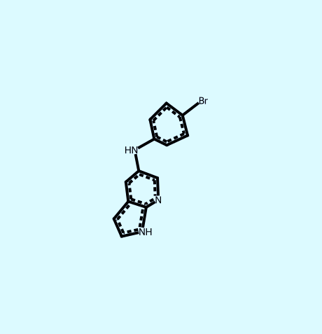 Brc1ccc(Nc2cnc3[nH]ccc3c2)cc1